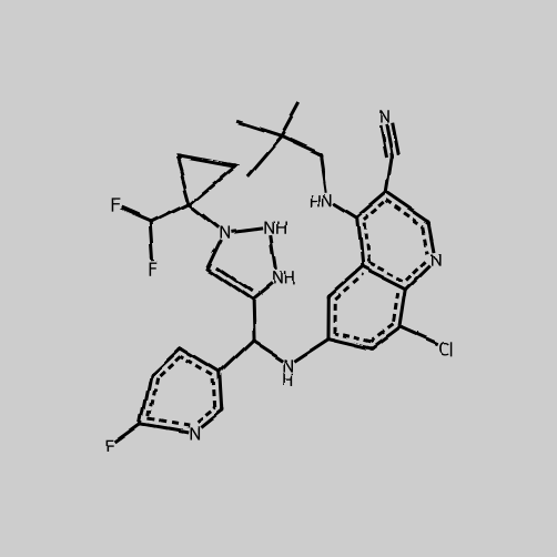 CC(C)(C)CNc1c(C#N)cnc2c(Cl)cc(NC(C3=CN(C4(C(F)F)CC4)NN3)c3ccc(F)nc3)cc12